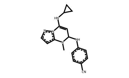 CN1c2ccnn2C(NC2CC2)=CC1Nc1ccc(C#N)cc1